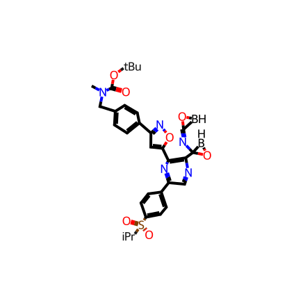 CC(C)S(=O)(=O)c1ccc(-c2cnc(C3(/N=C4\BO4)BO3)c(-c3cc(-c4ccc(CN(C)C(=O)OC(C)(C)C)cc4)no3)n2)cc1